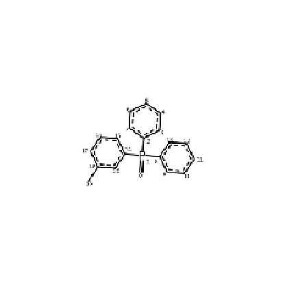 C=P(c1ccccc1)(c1ccccc1)c1cccc(C)c1